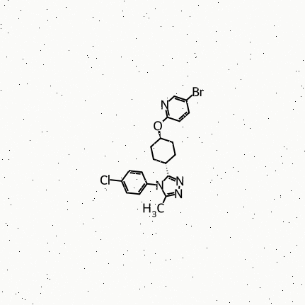 Cc1nnc([C@H]2CC[C@H](Oc3ccc(Br)cn3)CC2)n1-c1ccc(Cl)cc1